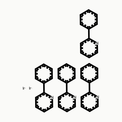 [Ir].[Ir].c1ccc(-c2ccccn2)cc1.c1ccc(-c2ccccn2)cc1.c1ccc(-c2ccccn2)cc1.c1ccc(-c2ccccn2)cc1